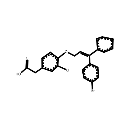 O=C(O)Cc1ccc(OC/C=C(/c2ccccc2)c2ccc(Br)cc2)c(Cl)c1